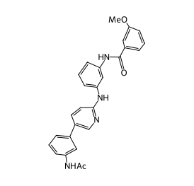 COc1cccc(C(=O)Nc2cccc(Nc3ccc(-c4cccc(NC(C)=O)c4)cn3)c2)c1